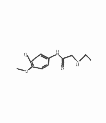 CCNCC(=O)Nc1ccc(OC)c(Cl)c1